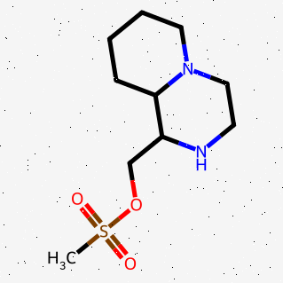 CS(=O)(=O)OCC1NCCN2CCCCC12